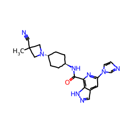 CC1(C#N)CN([C@H]2CC[C@H](NC(=O)c3nc(-n4ccnc4)cc4cn[nH]c34)CC2)C1